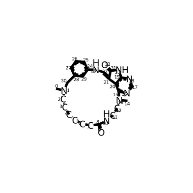 CN1CCCCCCC(=O)NCCN(C)c2ncnc3c2/C(=C/Nc2cccc(c2)C1)C(=O)N3